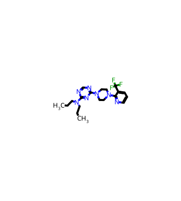 CCCN(CCC)c1ncnc(N2CCN(c3ncccc3C(F)(F)F)CC2)n1